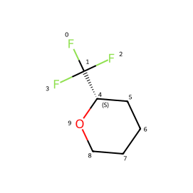 FC(F)(F)[C@@H]1CCCCO1